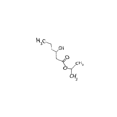 CCCC(O)CC(=O)OC(C)C